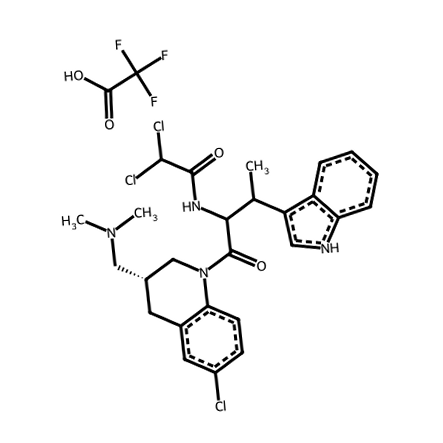 CC(c1c[nH]c2ccccc12)C(NC(=O)C(Cl)Cl)C(=O)N1C[C@@H](CN(C)C)Cc2cc(Cl)ccc21.O=C(O)C(F)(F)F